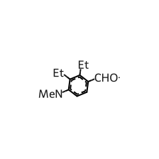 CCc1c([C]=O)ccc(NC)c1CC